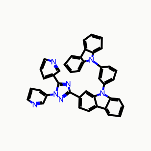 c1cncc(-c2nc(-c3ccc4c5ccccc5n(-c5cccc(-n6c7ccccc7c7ccccc76)c5)c4c3)nn2-c2cccnc2)c1